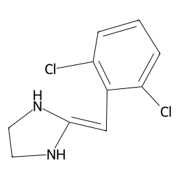 Clc1cccc(Cl)c1C=C1NCCN1